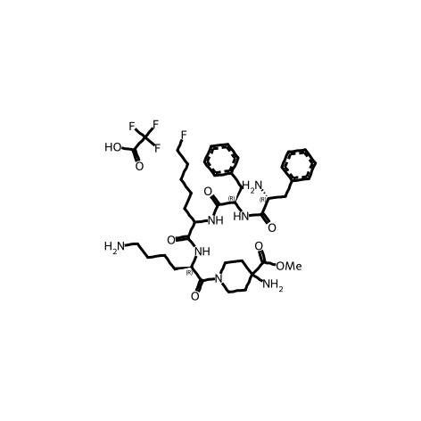 COC(=O)C1(N)CCN(C(=O)[C@@H](CCCCN)NC(=O)C(CCCCCF)NC(=O)[C@@H](Cc2ccccc2)NC(=O)[C@H](N)Cc2ccccc2)CC1.O=C(O)C(F)(F)F